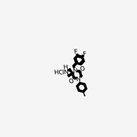 C[C@H]1CC[C@H](N2CC(=O)N(Cc3ccc(F)c(F)c3)C3(CNC3)C2=O)CC1.Cl